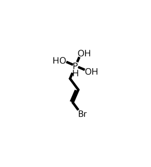 O[PH](O)(O)CC=CBr